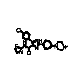 CN1CCN(c2ccc(-c3nc(C(=O)Nc4nccs4)c(-c4ccc(Cl)cc4)[nH]3)cc2)CC1